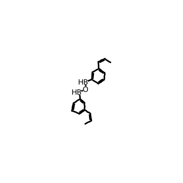 C/C=C\c1cccc(BOBc2cccc(/C=C\C)c2)c1